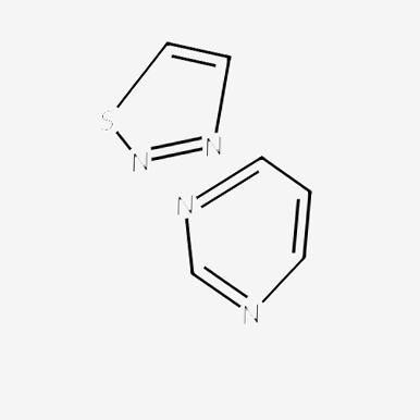 c1cncnc1.c1csnn1